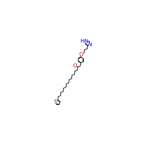 O=C(CCCCCCCCCCCCCCc1cccs1)Cc1ccc(OCCCc2c[nH]cn2)cc1